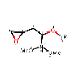 CCCOC(CC1CO1)[SiH](OC)OC